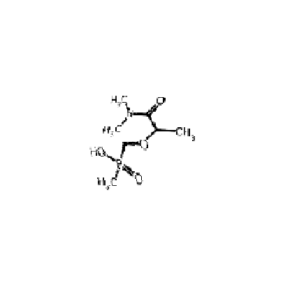 CC(OCP(C)(=O)O)C(=O)N(C)C